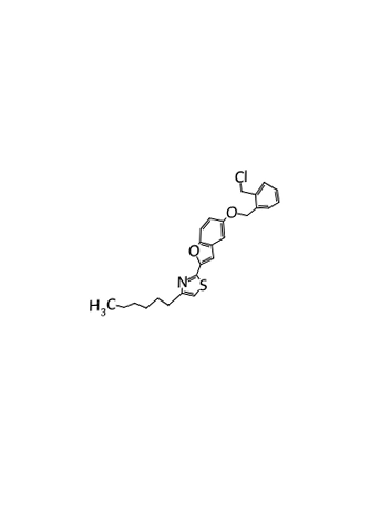 CCCCCCc1csc(-c2cc3cc(OCc4ccccc4CCl)ccc3o2)n1